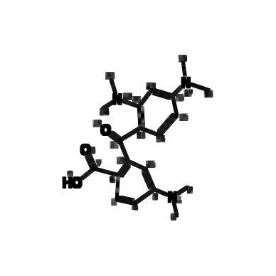 CN(C)c1ccc(C(=O)O)c(C(=O)c2ccc(N(C)C)cc2N(C)C)c1